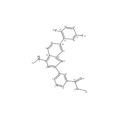 CNc1nc(-c2cncc(C(=O)OC)c2)nc2cc(-c3cc(F)ccc3F)ccc12